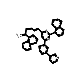 C=C(/C=C\C=C\c1cc(-c2cccc(-c3cccnc3)c2)nc(-c2cccc3ccccc23)n1)c1cccc2ccccc12